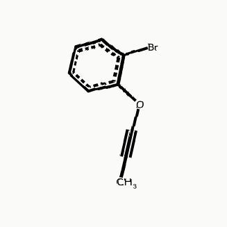 CC#COc1ccccc1Br